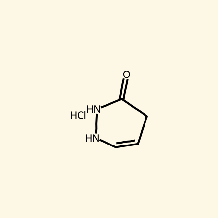 Cl.O=C1CC=CNN1